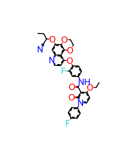 CCOc1ccn(-c2ccc(F)cc2)c(=O)c1C(=O)Nc1ccc(Oc2ccnc3cc(OC(C#N)CC)c4c(c23)OCCO4)c(F)c1